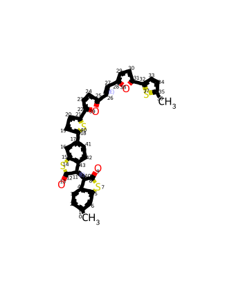 Cc1ccc2c(c1)SC(=O)/C2=C1/C(=O)Sc2cc(-c3ccc(-c4ccc(/C=C/c5ccc(-c6ccc(C)s6)o5)o4)s3)ccc21